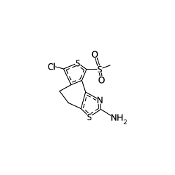 CS(=O)(=O)c1sc(Cl)c2c1-c1nc(N)sc1CC2